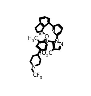 CCc1c(C(=O)O)cnn1-c1cccc(-c2cccc3c2[C@@H](Oc2ccc(C4CCN(CC(F)(F)F)CC4)cc2C)CC3)n1